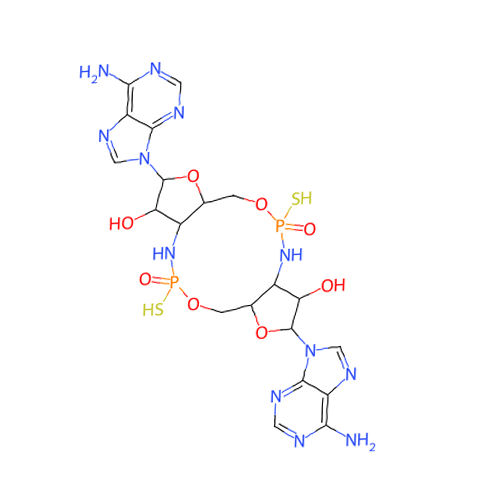 Nc1ncnc2c1ncn2C1OC2COP(=O)(S)NC3C(COP(=O)(S)NC2C1O)OC(n1cnc2c(N)ncnc21)C3O